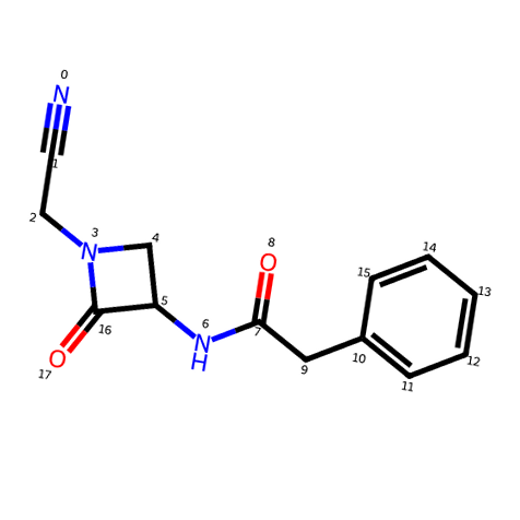 N#CCN1CC(NC(=O)Cc2ccccc2)C1=O